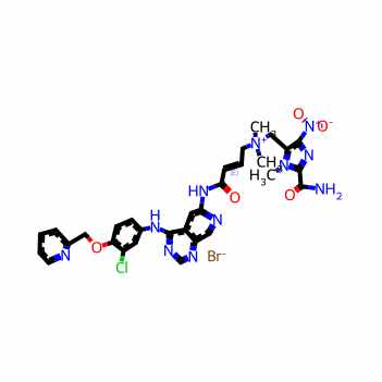 Cn1c(C(N)=O)nc([N+](=O)[O-])c1C[N+](C)(C)C/C=C/C(=O)Nc1cc2c(Nc3ccc(OCc4ccccn4)c(Cl)c3)ncnc2cn1.[Br-]